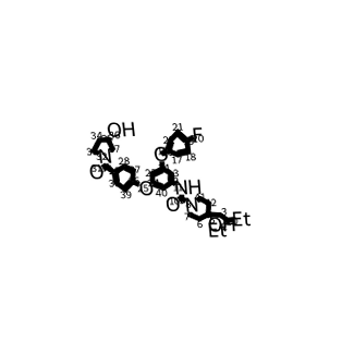 CCC(CC)CC1(O)CCN(C(=O)Nc2cc(Oc3ccc(F)cc3)cc(Oc3ccc(C(=O)N4CCC(O)C4)cc3)c2)CC1